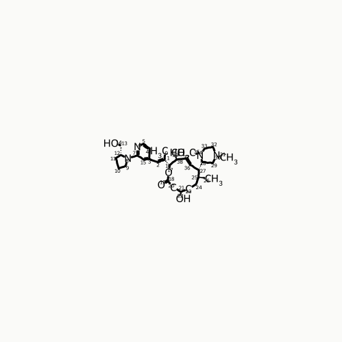 C/C(=C\c1ccnc(N2CCC[C@@H]2CO)c1)[C@H]1OC(=O)C[C@H](O)CC[C@H](C)[C@@H](C2CN(C)CCN2C(=O)O)/C=C/[C@@H]1C